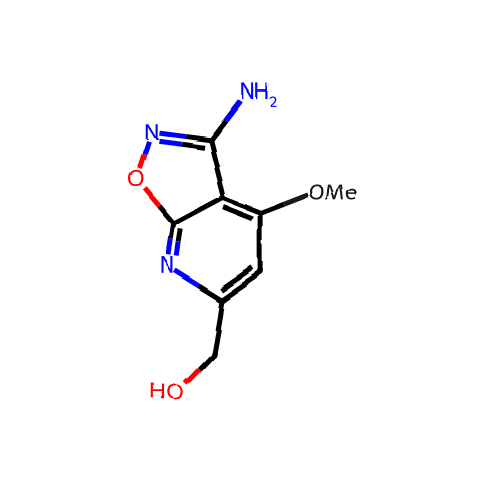 COc1cc(CO)nc2onc(N)c12